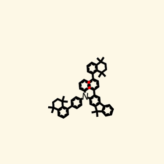 CC1(C)CCC(C)(C)c2c(-c3ccc(-c4cc5c(cc4N(c4ccccc4)c4ccc(-c6cccc7c6C(C)(C)CCC7(C)C)cc4)C(C)(C)c4ccccc4-5)cc3)cccc21